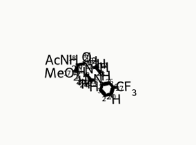 [2H]c1ccc(N2C([2H])([2H])C([2H])([2H])N(C(=O)[C@H](COC)NC(C)=O)C([2H])([2H])C2([2H])[2H])cc1C(F)(F)F